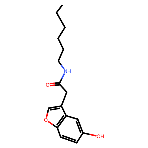 CCCCCCNC(=O)Cc1coc2ccc(O)cc12